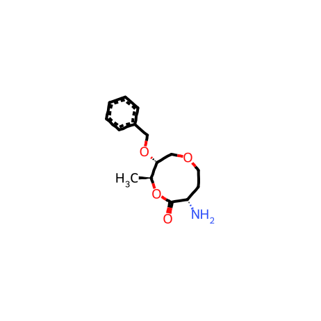 C[C@@H]1OC(=O)[C@@H](N)CCOC[C@H]1OCc1ccccc1